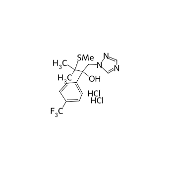 CSC(C)(C)C(O)(Cn1cncn1)c1ccc(C(F)(F)F)cc1.Cl.Cl